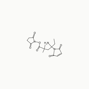 CCC(N)(CC(C)(C)C(=O)ON1C(=O)CCC1=O)N1C(=O)C=CC1=O